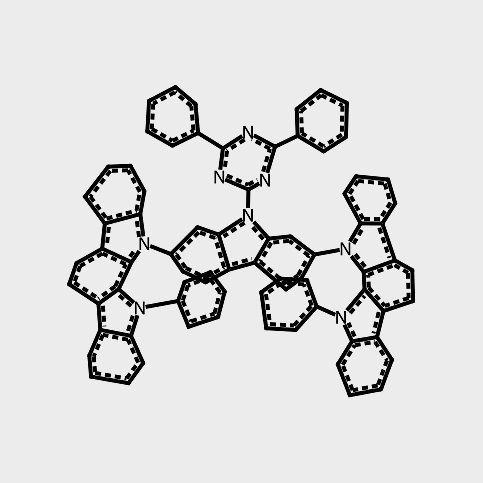 c1ccc(-c2nc(-c3ccccc3)nc(-n3c4cc(-n5c6ccccc6c6ccc7c8ccccc8n(-c8ccccc8)c7c65)ccc4c4ccc(-n5c6ccccc6c6ccc7c8ccccc8n(-c8ccccc8)c7c65)cc43)n2)cc1